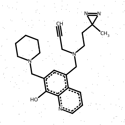 C#CCN(CCC1(C)N=N1)Cc1cc(CN2CCCCC2)c(O)c2ncccc12